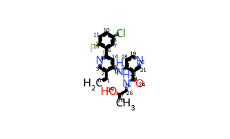 C=Cc1cnc(-c2cc(Cl)ccc2F)cc1Nc1ccncc1C(=O)NCC(C)O